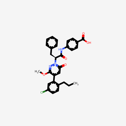 CCCc1ccc(Cl)cc1-c1cc(=O)n([C@@H](Cc2ccccc2)C(=O)Nc2ccc(C(=O)O)cc2)nc1OC